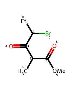 CCC(Br)C(=O)C(C)C(=O)OC